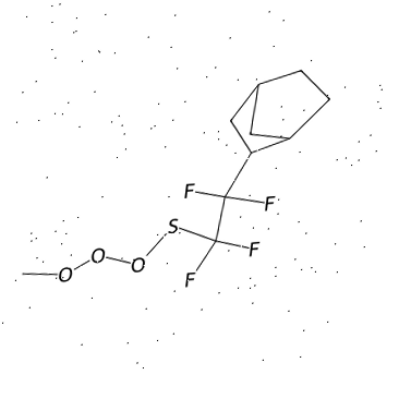 COOOSC(F)(F)C(F)(F)C1CC2CCC1C2